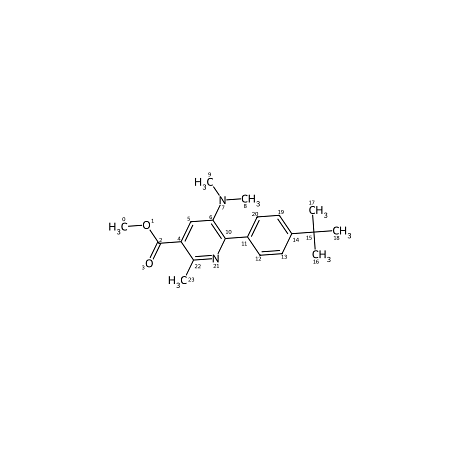 COC(=O)c1cc(N(C)C)c(-c2ccc(C(C)(C)C)cc2)nc1C